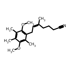 COc1c(C)c(C)c(OC)c(CC=C(C)CCCC#N)c1C